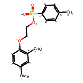 COc1ccc(OCCOS(=O)(=O)c2ccc(C)cc2)c(C=O)c1